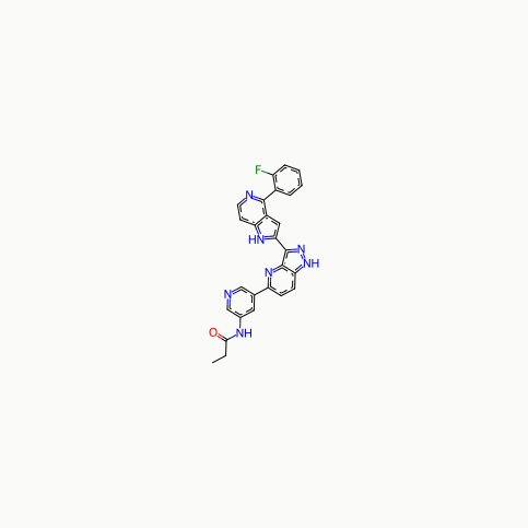 CCC(=O)Nc1cncc(-c2ccc3[nH]nc(-c4cc5c(-c6ccccc6F)nccc5[nH]4)c3n2)c1